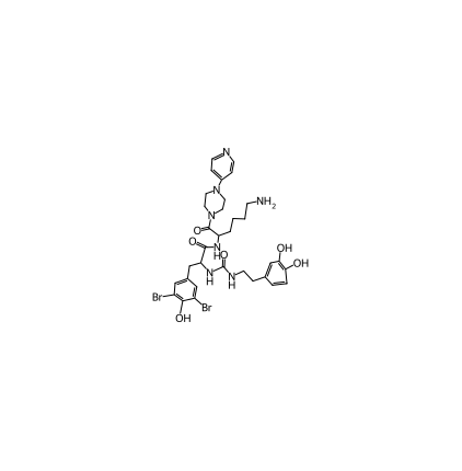 NCCCCC(NC(=O)C(Cc1cc(Br)c(O)c(Br)c1)NC(=O)NCCc1ccc(O)c(O)c1)C(=O)N1CCN(c2ccncc2)CC1